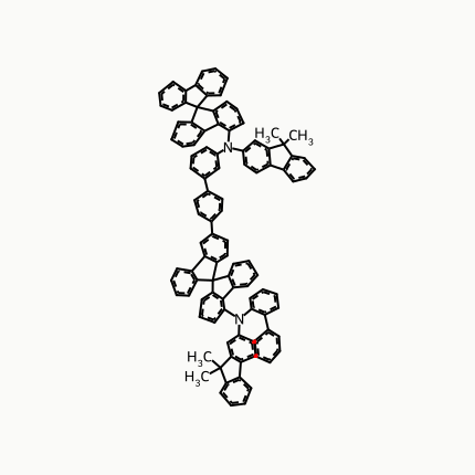 CC1(C)c2ccccc2-c2ccc(N(c3cccc(-c4ccc(-c5ccc6c(c5)-c5ccccc5C65c6ccccc6-c6c(N(c7ccc8c(c7)C(C)(C)c7ccccc7-8)c7ccccc7-c7ccccc7)cccc65)cc4)c3)c3cccc4c3-c3ccccc3C43c4ccccc4-c4ccccc43)cc21